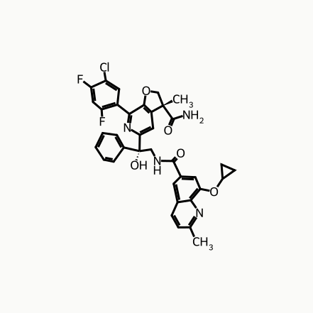 Cc1ccc2cc(C(=O)NC[C@@](O)(c3ccccc3)c3cc4c(c(-c5cc(Cl)c(F)cc5F)n3)OC[C@]4(C)C(N)=O)cc(OC3CC3)c2n1